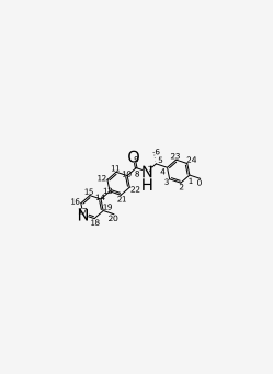 Cc1ccc([C@@H](C)NC(=O)c2ccc(-c3ccncc3C)cc2)cc1